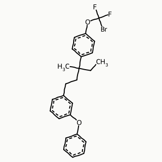 CCC(C)(CCc1cccc(Oc2ccccc2)c1)c1ccc(OC(F)(F)Br)cc1